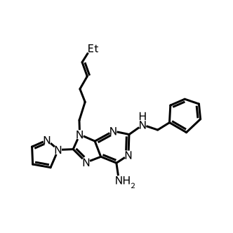 CCC=CCCCn1c(-n2cccn2)nc2c(N)nc(NCc3ccccc3)nc21